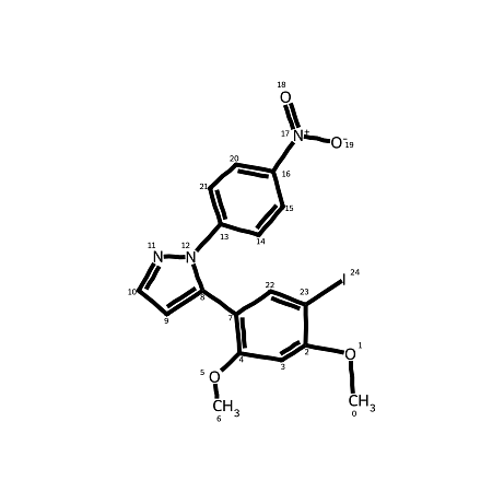 COc1cc(OC)c(-c2ccnn2-c2ccc([N+](=O)[O-])cc2)cc1I